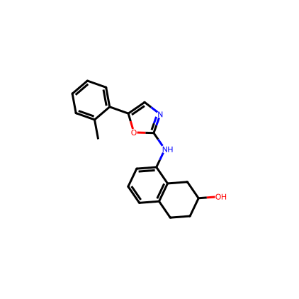 Cc1ccccc1-c1cnc(Nc2cccc3c2CC(O)CC3)o1